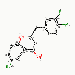 O[C@@H]1C[C@H](Cc2ccc(F)c(F)c2)Oc2ccc(Br)cc21